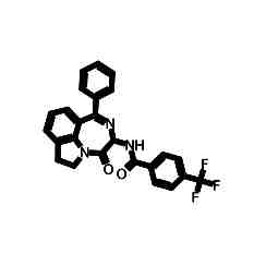 O=C(NC1N=C(c2ccccc2)c2cccc3c2N(CC3)C1=O)c1ccc(C(F)(F)F)cc1